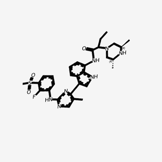 CCC(C(=O)Nc1cccc2c(-c3nc(Nc4cccc(S(C)(=O)=O)c4F)ncc3C)c[nH]c12)N1C[C@@H](C)N[C@H](C)C1